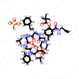 C#CCNC(=O)c1cc(C[N+]2(CC(=O)N[C@@H](CCc3ccccc3)C(=O)N[C@@H](CC(C)C)C(=O)N[C@@H](Cc3ccccc3)C(=O)N[C@@H](CC(C)C)C(=O)[C@@]3(C)CO3)CCOCC2)ccc1OC(=O)C(C)(C)C.CS(=O)(=O)[O-]